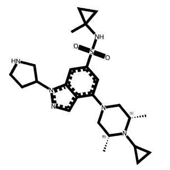 C[C@@H]1CN(c2cc(S(=O)(=O)NC3(C)CC3)cc3c2cnn3C2CCNC2)C[C@H](C)N1C1CC1